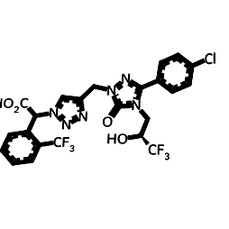 O=C(O)C(c1ccccc1C(F)(F)F)n1cc(Cn2nc(-c3ccc(Cl)cc3)n(C[C@H](O)C(F)(F)F)c2=O)nn1